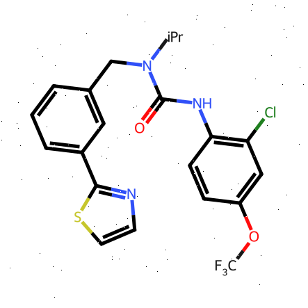 CC(C)N(Cc1cccc(-c2nccs2)c1)C(=O)Nc1ccc(OC(F)(F)F)cc1Cl